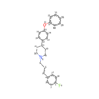 Fc1ccc(C=CCN2CCC(c3ccc(Oc4ccccc4)cc3)CC2)cc1